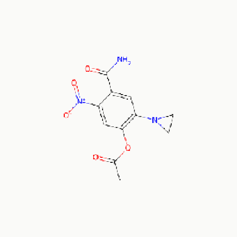 CC(=O)Oc1cc([N+](=O)[O-])c(C(N)=O)cc1N1CC1